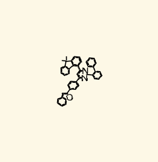 CC1(C)c2ccccc2-c2c(-c3cc(-c4ccc(-c5cc6ccccc6o5)cc4)nc(-c4ccccc4-c4ccccc4)n3)cccc21